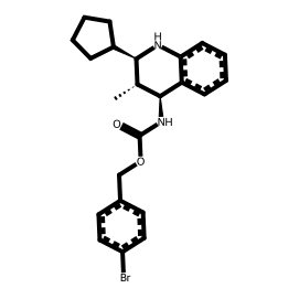 C[C@H]1[C@H](NC(=O)OCc2ccc(Br)cc2)c2ccccc2N[C@@H]1C1CCCC1